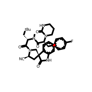 CN(C(=O)[C@H](Cc1ccc(F)cc1)N1CCCNC1=O)[C@@H](CC(C)(C)C)C(=O)N1C[C@]2(C[C@H]1C#N)C(=O)Nc1ccccc12